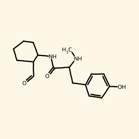 CNC(Cc1ccc(O)cc1)C(=O)NC1CCCCC1C=O